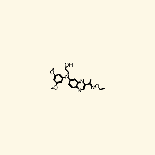 CCO/N=C(\C)c1cnc2ccc(N(CCO)c3cc(OC)cc(OC)c3)cc2n1